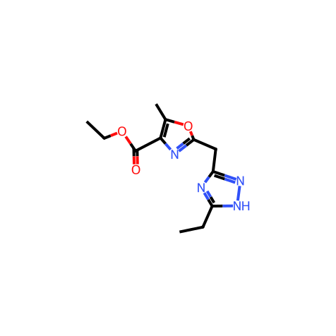 CCOC(=O)c1nc(Cc2n[nH]c(CC)n2)oc1C